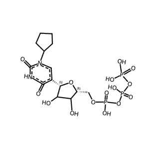 O=c1[nH]c(=O)n(C2CCCC2)cc1[C@@H]1O[C@H](COP(=O)(O)OP(=O)(O)OP(=O)(O)O)C(O)C1O